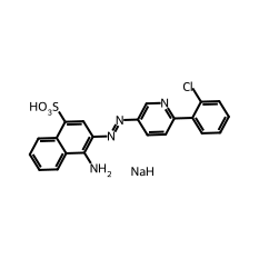 Nc1c(N=Nc2ccc(-c3ccccc3Cl)nc2)cc(S(=O)(=O)O)c2ccccc12.[NaH]